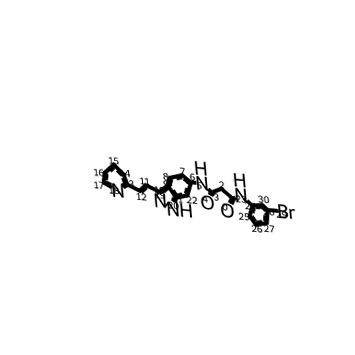 O=C(CC(=O)Nc1ccc2c(C=Cc3ccccn3)n[nH]c2c1)Nc1cccc(Br)c1